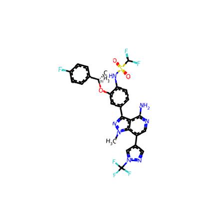 C[C@H](Oc1cc(-c2nn(C)c3c(-c4cnn(C(F)(F)F)c4)cnc(N)c23)ccc1NS(=O)(=O)C(F)F)c1ccc(F)cc1